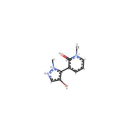 CCn1cccc(-c2c(Br)cnn2C)c1=O